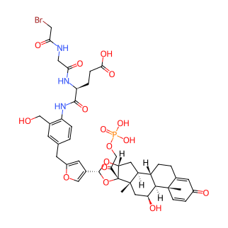 C[C@]12C=CC(=O)C=C1CC[C@@H]1[C@@H]2[C@@H](O)C[C@@]2(C)[C@H]1C[C@H]1O[C@@H](c3coc(Cc4ccc(NC(=O)[C@H](CCC(=O)O)NC(=O)CNC(=O)CBr)c(CO)c4)c3)O[C@]12C(=O)COP(=O)(O)O